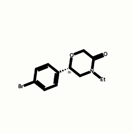 CCN1C[C@H](c2ccc(Br)cc2)OCC1=O